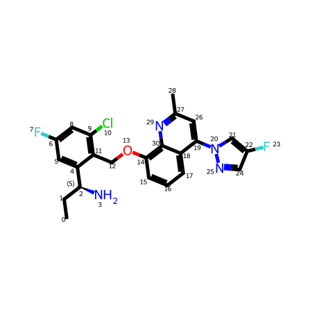 CC[C@H](N)c1cc(F)cc(Cl)c1COc1cccc2c(-n3cc(F)cn3)cc(C)nc12